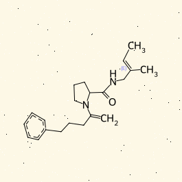 C=C(CCCc1ccccc1)N1CCCC1C(=O)NC/C(C)=C/C